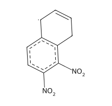 O=[N+]([O-])c1ccc2c(c1[N+](=O)[O-])CC=C[CH]2